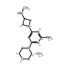 CNC1CN(c2cc(N3CCOC[C@H]3C)nc(N)n2)C1